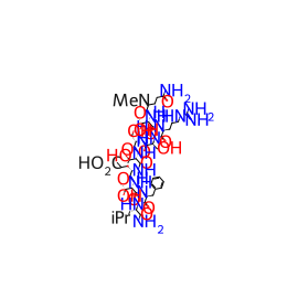 CN[C@@H](CCC(N)=O)C(=O)N[C@H](C(=O)N[C@@H](CCCNC(=N)N)C(=O)N[C@@H](CO)C(=O)N[C@@H](CO)C(=O)N[C@H](C(=O)N[C@@H](CCC(=O)O)C(=O)N[C@H](C(=O)N[C@@H](Cc1ccccc1)C(=O)N[C@@H](CC(C)C)C(N)=O)[C@@H](C)O)[C@@H](C)O)[C@@H](C)O